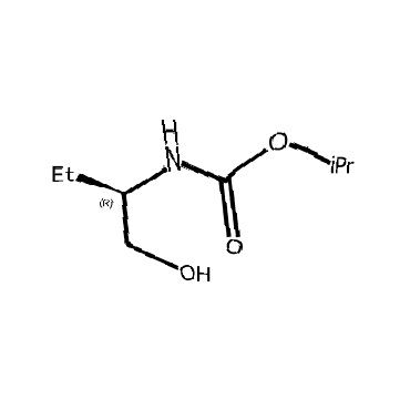 CC[C@H](CO)NC(=O)OC(C)C